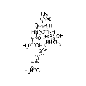 CC(O)CC(=O)NNC(=O)[C@@H](CC(N)=O)NC(=O)N[C@H](C(=O)NCCOCCOCC(N)=O)C(C)O